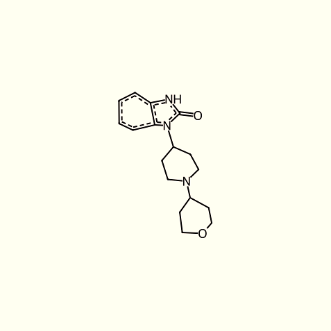 O=c1[nH]c2ccccc2n1C1CCN(C2CCOCC2)CC1